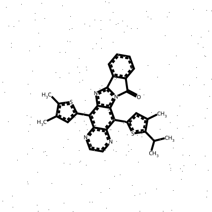 Cc1cc(-c2c3nccnc3c(-c3cc(C)c(C(C)C)s3)c3c2nc2n3C(=O)c3ccccc3-2)sc1C